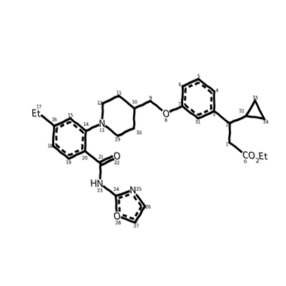 CCOC(=O)CC(c1cccc(OCC2CCN(c3cc(CC)ccc3C(=O)Nc3ncco3)CC2)c1)C1CC1